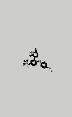 Cc1[nH]c(=O)ccc1-c1cc(NS(C)(=O)=O)ccc1Oc1ccc(C(F)(F)F)cc1